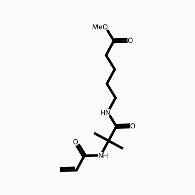 C=CC(=O)NC(C)(C)C(=O)NCCCCC(=O)OC